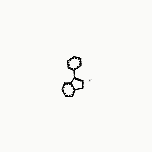 [CH]1C=C(c2ccccc2)c2ccccc21.[Zr]